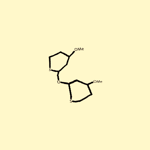 COC1CCSC(OC2CC(OC)CCS2)C1